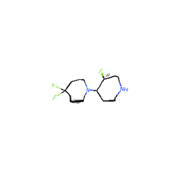 F[C@H]1CNCCC1N1CCC(F)(F)CC1